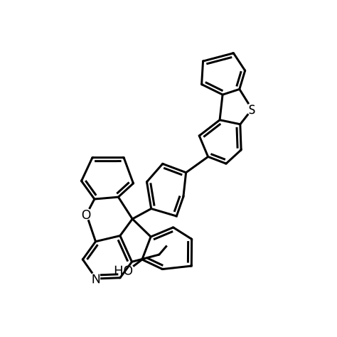 CCc1cncc2c1C(c1ccc(-c3ccc4sc5ccccc5c4c3)cc1)(c1ccccc1O)c1ccccc1O2